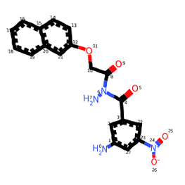 Nc1cc(C(=O)N(N)C(=O)COc2ccc3ccccc3c2)cc([N+](=O)[O-])c1